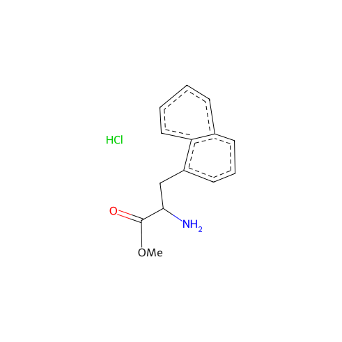 COC(=O)C(N)Cc1cccc2ccccc12.Cl